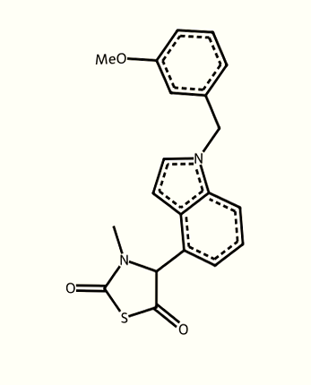 COc1cccc(Cn2ccc3c(C4C(=O)SC(=O)N4C)cccc32)c1